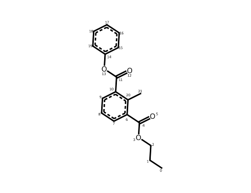 CCCOC(=O)c1cccc(C(=O)Oc2ccccc2)c1C